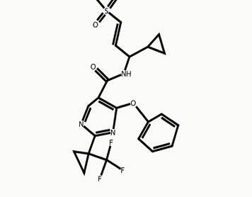 CS(=O)(=O)C=CC(NC(=O)c1cnc(C2(C(F)(F)F)CC2)nc1Oc1ccccc1)C1CC1